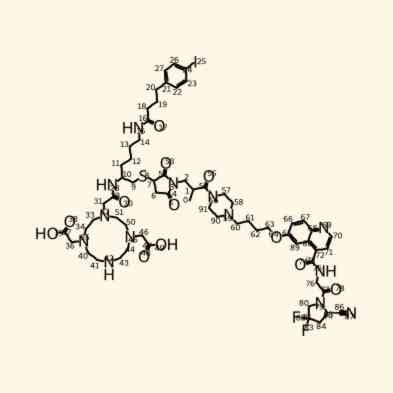 CC(CN1C(=O)CC(SCC(CCCCNC(=O)CCCc2ccc(I)cc2)NC(=O)CN2CCN(CC(=O)O)CCNCCN(CC(=O)O)CC2)C1=O)C(=O)N1CCN(CCCCOc2ccc3nccc(C(=O)NCC(=O)N4CC(F)(F)C[C@@H]4C#N)c3c2)CC1